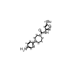 CC(C)(C)c1cc(NC(=O)N2CCCN(c3ccc(N)cn3)CC2)no1